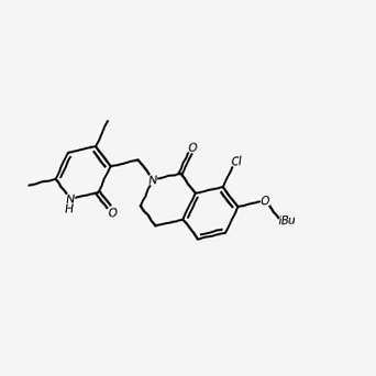 CCC(C)Oc1ccc2c(c1Cl)C(=O)N(Cc1c(C)cc(C)[nH]c1=O)CC2